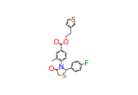 Cc1cc(C(=O)OCCc2ccsc2)ccc1N1C(=O)CSC1c1ccc(F)cc1